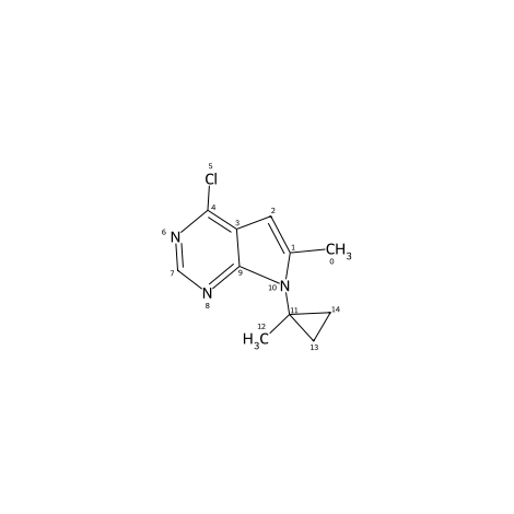 Cc1cc2c(Cl)ncnc2n1C1(C)CC1